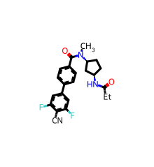 CCC(=O)N[C@@H]1CC[C@H](N(C)C(=O)c2ccc(-c3cc(F)c(C#N)c(F)c3)cc2)C1